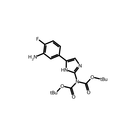 CC(C)(C)OC(=O)N(C(=O)OC(C)(C)C)c1ncc(-c2ccc(F)c(N)c2)[nH]1